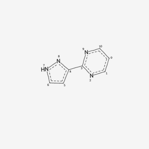 c1cnc(-c2cc[nH]n2)nc1